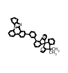 CC1(C)c2ccccc2C2(c3ccccc3-c3c(-c4cccc(-c5ccc6c7ccccc7n7c8ccccc8nc7c6c5)c4)cccc32)c2ccccc21